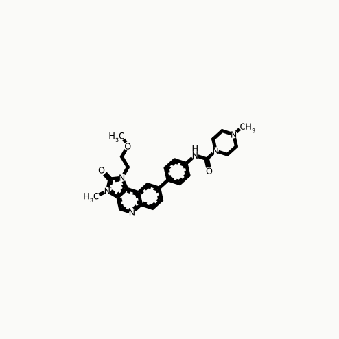 COCCn1c(=O)n(C)c2cnc3ccc(-c4ccc(NC(=O)N5CCN(C)CC5)cc4)cc3c21